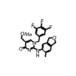 COCc1cn(Cc2cc(F)c(F)c(F)c2)c(Nc2cc3c(cc2C)COC3)nc1=O